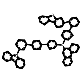 c1cc(-c2ccc(-c3ccc(N(c4ccc(-c5ccccc5-c5ccc6c(c5)oc5ccccc56)cc4)c4cc5ccccc5c5ccccc45)cc3)cc2)cc(-n2c3ccccc3c3ccccc32)c1